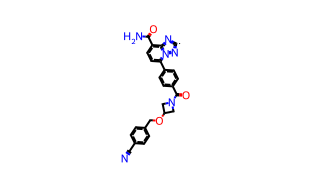 N#Cc1ccc(COC2CN(C(=O)c3ccc(-c4ccc(C(N)=O)c5n[c]nn45)cc3)C2)cc1